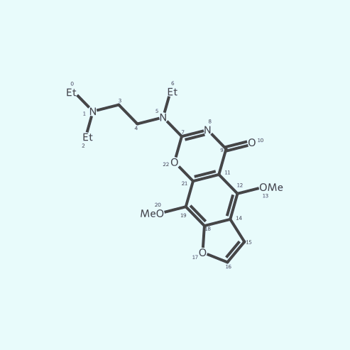 CCN(CC)CCN(CC)c1nc(=O)c2c(OC)c3ccoc3c(OC)c2o1